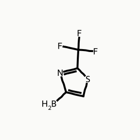 Bc1csc(C(F)(F)F)n1